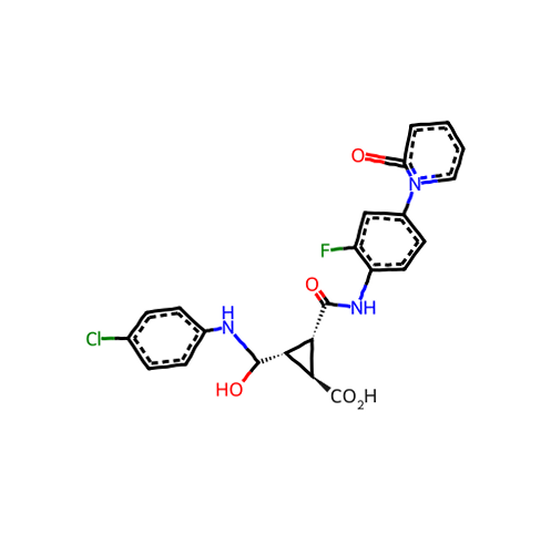 O=C(O)[C@@H]1[C@@H](C(=O)Nc2ccc(-n3ccccc3=O)cc2F)[C@H]1C(O)Nc1ccc(Cl)cc1